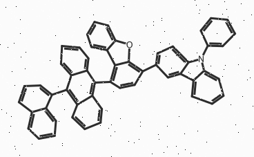 c1ccc(-n2c3ccccc3c3cc(-c4ccc(-c5c6ccccc6c(-c6cccc7ccccc67)c6ccccc56)c5c4oc4ccccc45)ccc32)cc1